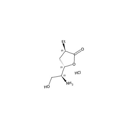 CC[C@@H]1C[C@@H]([C@@H](N)CO)OC1=O.Cl